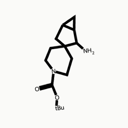 CC(C)(C)OC(=O)N1CCC2(CC1)CC1CC1C2N